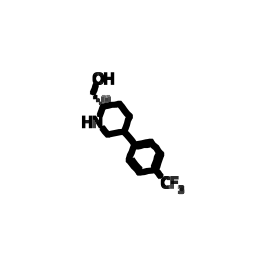 OC[C@@H]1CCC(c2ccc(C(F)(F)F)cc2)CN1